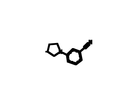 N#Cc1cccc(N2C[CH]CC2)c1